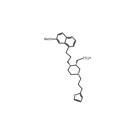 COc1ccc2nccc(CCC[C@@H]3CCN(CCCc4ccco4)C[C@@H]3CC(=O)O)c2c1